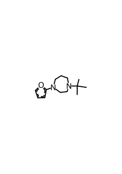 CC(C)(C)N1CCCN(c2ccco2)CC1